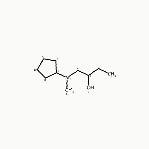 CCC(O)CN(C)C1CCCC1